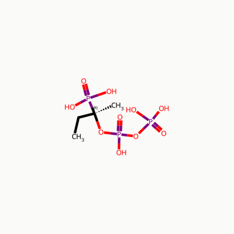 CC[C@](C)(OP(=O)(O)OP(=O)(O)O)P(=O)(O)O